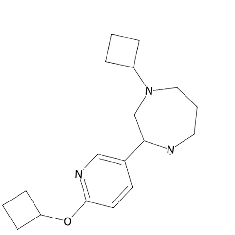 c1cc(OC2CCC2)ncc1C1CN(C2CCC2)CCC[N]1